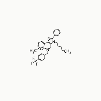 CCCCCn1c(-c2ccccc2)nc(-c2ccccc2)c1CN(CCCC)Cc1ccc(C(F)(F)F)cc1